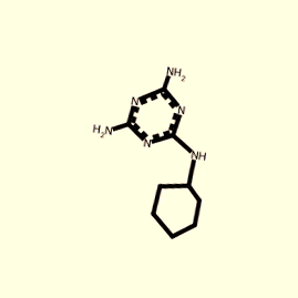 Nc1nc(N)nc(NC2CCCCC2)n1